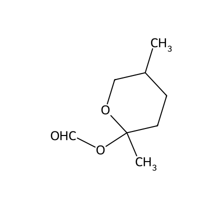 CC1CCC(C)(OC=O)OC1